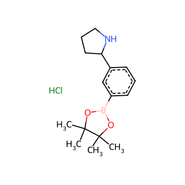 CC1(C)OB(c2cccc(C3CCCN3)c2)OC1(C)C.Cl